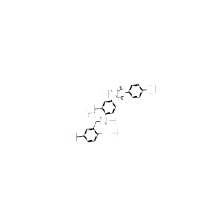 O=C(Nc1ccc(NS(=O)(=O)c2ccc(Cl)cc2)cc1Cl)c1cc(Cl)ccc1O